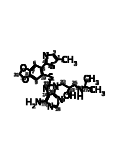 Cc1cnc(-c2cc3c(cc2Sc2nc4c(N)ncnc4n2CC(O)CNC(C)C)OCO3)s1